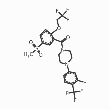 CS(=O)(=O)c1ccc(OCC(F)(F)F)c(C(=O)N2CCN(c3ccc(C(F)(F)F)c(F)c3)CC2)c1